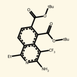 CCc1nc(N)c(C(F)(F)F)c2c(C(=O)OC(C)(C)C)c(C(=O)OC(C)(C)C)ccc12